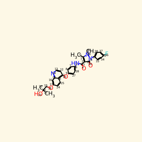 Cc1c(C(=O)Nc2ccc(Oc3ccnc4cc(OCC(C)(C)O)ccc34)cc2)c(=O)n(-c2ccc(F)cc2)n1C